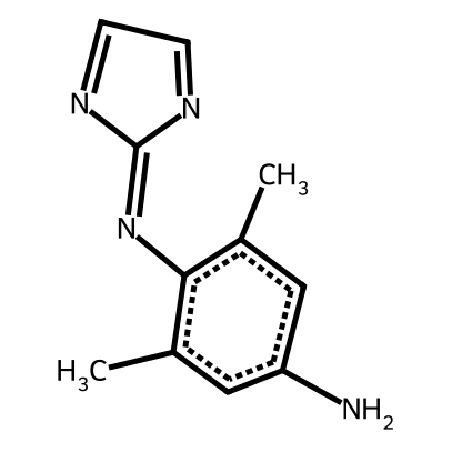 Cc1cc(N)cc(C)c1N=C1N=CC=N1